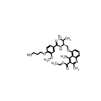 CCOC(=O)c1c(C)nc2cccc(OC[C@@H](NC(=O)c3ccc(OCCCO)c(OC)c3)C(C)C)c2c1N